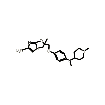 CN1CCC(N(C)c2ccc(OCC3(C)Cn4cc([N+](=O)[O-])nc4O3)cc2)CC1